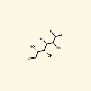 O=C[C@H](O)[C@@H](O)[C@@H](O)[C@H](O)C(F)F